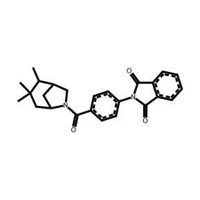 CC1C2CC(CC1(C)C)N(C(=O)c1ccc(N3C(=O)c4ccccc4C3=O)cc1)C2